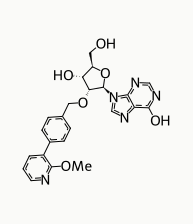 COc1ncccc1-c1ccc(CO[C@@H]2[C@H](O)[C@@H](CO)O[C@H]2n2cnc3c(O)ncnc32)cc1